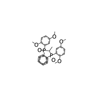 COc1ccc(OC)c(P(=O)(c2ccccc2)C(C)P(=O)(c2ccccc2)c2cc(OC)ccc2OC)c1